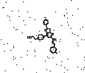 Cc1cccc(/C=N/Nc2cc(N3CCN(CCO)CC3)n3nc(-c4ccccc4)cc3n2)c1